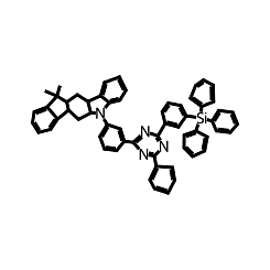 CC1(C)c2ccccc2C2CC3C(CC21)c1ccccc1N3c1cccc(-c2nc(-c3ccccc3)nc(-c3cccc([Si](c4ccccc4)(c4ccccc4)c4ccccc4)c3)n2)c1